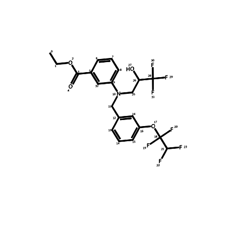 CCOC(=O)c1cccc(N(Cc2cccc(OC(F)(F)C(F)F)c2)CC(O)C(F)(F)F)c1